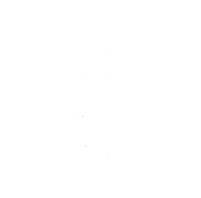 CCCCCCCC(CC)(CC)OOOOCC